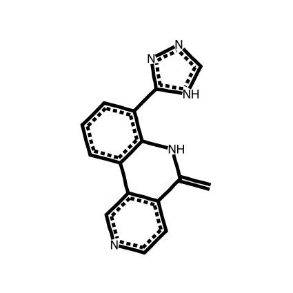 C=C1Nc2c(-c3nnc[nH]3)cccc2-c2cnccc21